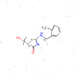 C[C@H](NC1=NC(=O)[C@@](C)(C(C)(C)O)S1)c1ccccc1C(F)(F)F